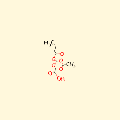 CCCC(=O)OC(OCC(=O)O)OC(C)=O